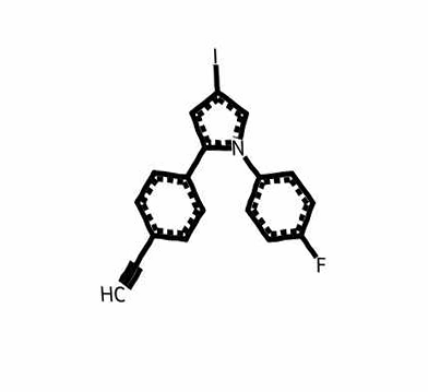 C#Cc1ccc(-c2cc(I)cn2-c2ccc(F)cc2)cc1